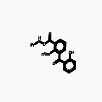 CCCCCCc1c(C(=O)ONC(C)C)cccc1C(=O)c1ccccc1O